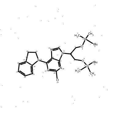 CC(C)(C)[Si](C)(C)OCC(CO[Si](C)(C)C(C)(C)C)n1cnc2c(N3CCc4ccccc43)nc(Cl)nc21